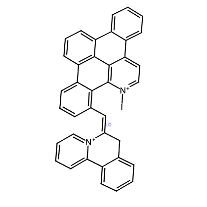 I[n+]1ccc2c3ccccc3c3cccc4c5cccc(/C=C6/Cc7ccccc7-c7cccc[n+]76)c5c1c2c34